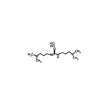 CN(C)CCCNC(=O)NCCCN(C)C.Cl.Cl